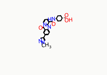 Cn1cc(-c2ccc3nc4c(C(=O)N[C@H]5CC[C@@H](C(=O)O)CC5)cccn4c(=O)c3c2)cn1